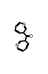 O=C(C1C=CC=CN=C1)C1C=CC=CN=C1